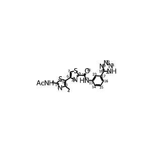 CC(=O)Nc1nc(C)c(-c2csc(C(=O)Nc3cccc(-c4nnn[nH]4)c3)n2)s1